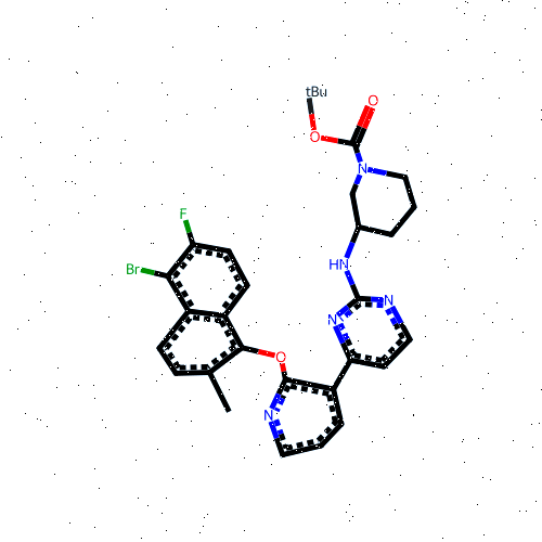 Cc1ccc2c(Br)c(F)ccc2c1Oc1ncccc1-c1ccnc(NC2CCCN(C(=O)OC(C)(C)C)C2)n1